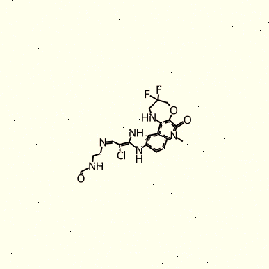 Cn1c(=O)c2c(c3cc(N/C(N)=C(Cl)/C=N\CCNC=O)ccc31)NCC(F)(F)CO2